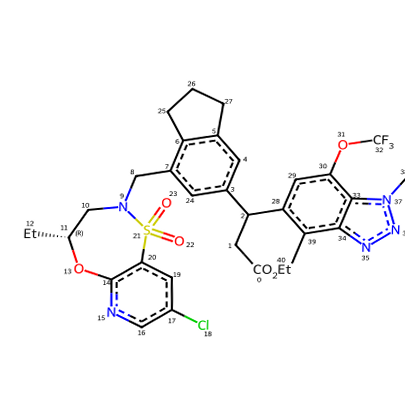 CCOC(=O)CC(c1cc2c(c(CN3C[C@@H](CC)Oc4ncc(Cl)cc4S3(=O)=O)c1)CCC2)c1cc(OC(F)(F)F)c2c(nnn2C)c1C